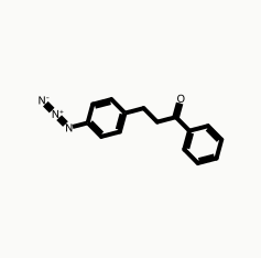 [N-]=[N+]=Nc1ccc(CCC(=O)c2ccccc2)cc1